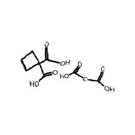 O=C(O)C1(C(=O)O)CCC1.O=C(O)CC(=O)O